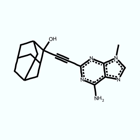 Cn1cnc2c(N)nc(C#CC3(O)C4CC5CC(C4)CC3C5)nc21